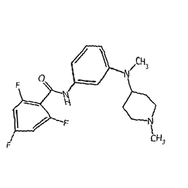 CN1CCC(N(C)c2cccc(NC(=O)c3c(F)cc(F)cc3F)c2)CC1